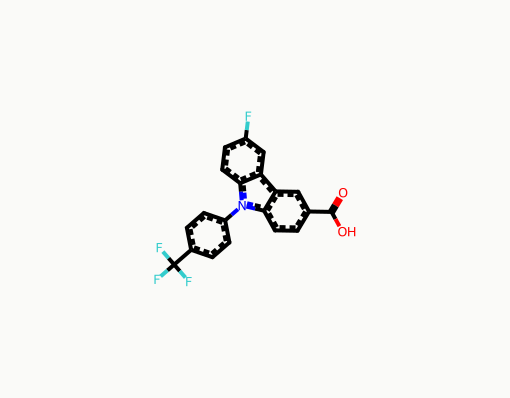 O=C(O)c1ccc2c(c1)c1cc(F)ccc1n2-c1ccc(C(F)(F)F)cc1